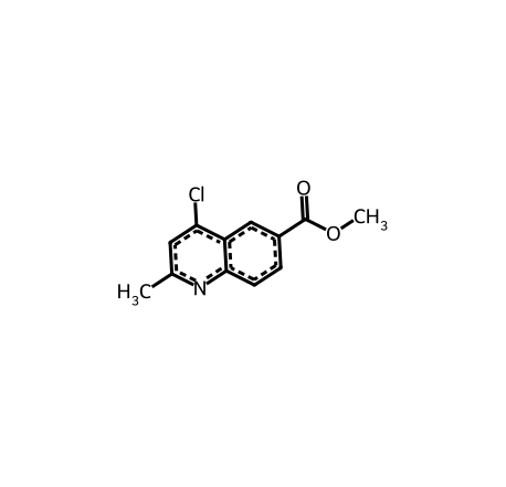 COC(=O)c1ccc2nc(C)cc(Cl)c2c1